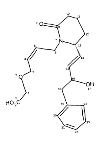 O=C(O)COC/C=C\CN1C(=O)CCC[C@@H]1/C=C/C(O)Cc1ccccc1